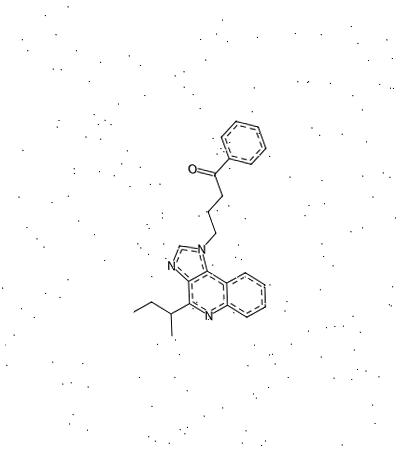 CCC(C)c1nc2ccccc2c2c1ncn2CCCC(=O)c1ccccc1